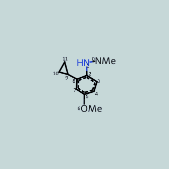 CNNc1ccc(OC)cc1C1CC1